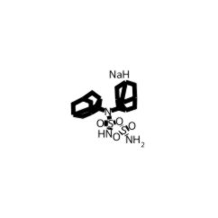 N=S(=O)(OS(N)(=O)=O)N(C1C2CC3CC(C2)CC1C3)C1C2CC3CC(C2)CC1C3.[NaH]